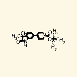 CC(C)(C)OC(=O)N1CC=C(c2ccc3c(c2)NC(=O)C3(C)C)CC1